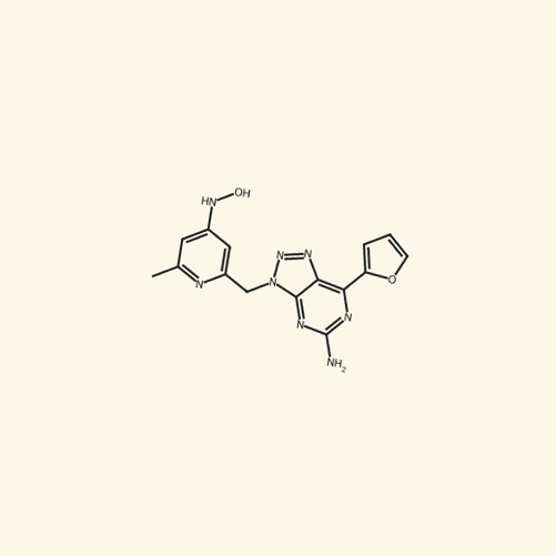 Cc1cc(NO)cc(Cn2nnc3c(-c4ccco4)nc(N)nc32)n1